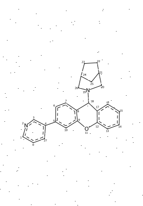 c1cncc(-c2ccc3c(c2)Oc2ccccc2C3N2CC3CCC(C3)C2)c1